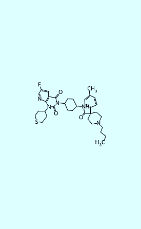 CCCCN1CCC(C(=O)NC2CCC(n3c(=O)c4cc(F)cnc4n(C4CCSCC4)c3=O)CC2)(c2ccc(C)cc2)CC1